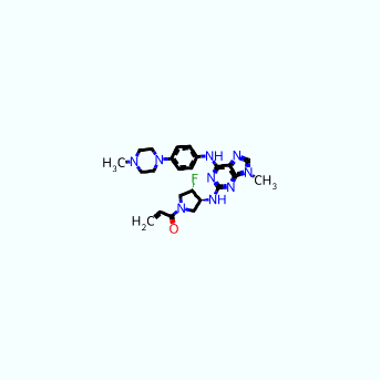 C=CC(=O)N1C[C@H](Nc2nc(Nc3ccc(N4CCN(C)CC4)cc3)c3ncn(C)c3n2)[C@@H](F)C1